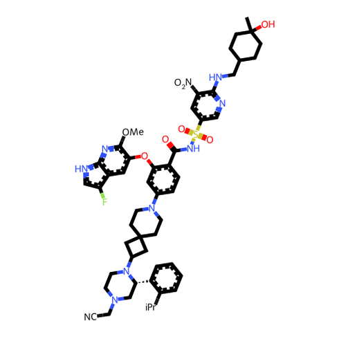 COc1nc2[nH]cc(F)c2cc1Oc1cc(N2CCC3(CC2)CC(N2CCN(CC#N)C[C@H]2c2ccccc2C(C)C)C3)ccc1C(=O)NS(=O)(=O)c1cnc(NCC2CCC(C)(O)CC2)c([N+](=O)[O-])c1